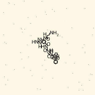 N=C(N)Nc1cc(NC(=O)CCCN)cc(C(=O)NCC(=O)NCC(NC(=O)C2CCCN2S(=O)(=O)c2ccccc2)C(=O)O)c1